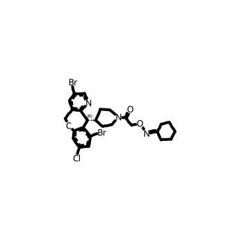 O=C(CON=C1CCCCC1)N1CCC([C@H]2c3ncc(Br)cc3CCc3cc(Cl)cc(Br)c32)CC1